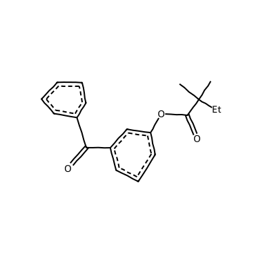 CCC(C)(C)C(=O)Oc1cccc(C(=O)c2ccccc2)c1